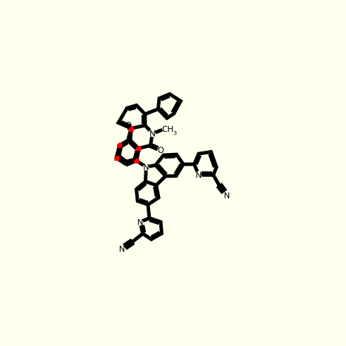 CN(C(=O)c1c(C=O)cccc1-n1c2ccc(-c3cccc(C#N)n3)cc2c2cc(-c3cccc(C#N)n3)ccc21)c1c(-c2ccccc2)cccc1-c1ccccc1